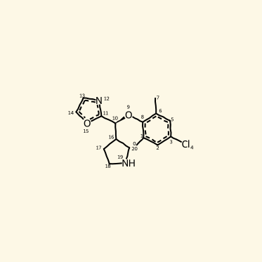 Cc1cc(Cl)cc(C)c1O[C@H](c1ncco1)C1CCNC1